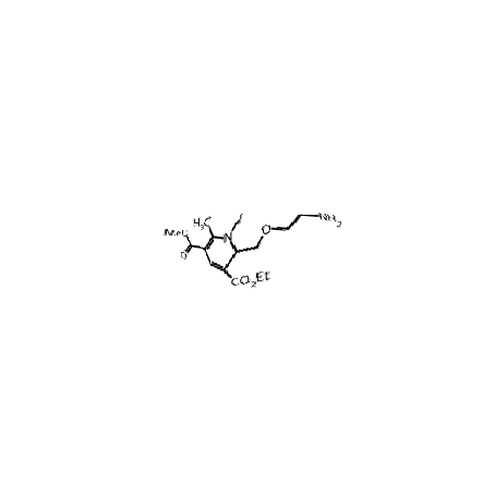 CCOC(=O)C1=CC(C(=O)OC)=C(C)N(I)C1COCCN